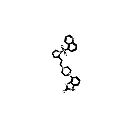 O=c1[nH]c2cccc(N3CCN(CCC4CCCN4S(=O)(=O)c4cccc5ncccc45)CC3)c2o1